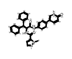 Cn1nccc1C(=O)NC(C(=O)Nc1ccc(-c2ccc(=O)[nH]c2)cc1)C(c1ccccc1)c1ccccc1